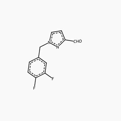 O=Cc1ccn(Cc2ccc(F)c(F)c2)n1